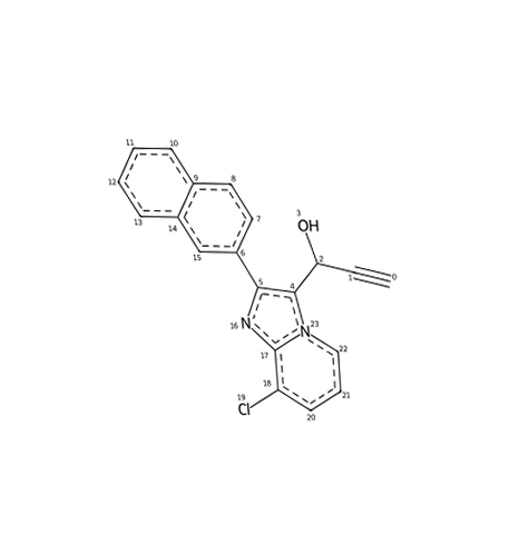 C#CC(O)c1c(-c2ccc3ccccc3c2)nc2c(Cl)cccn12